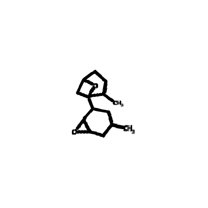 CC1CC2OC2C(C23CC(CCC2C)O3)C1